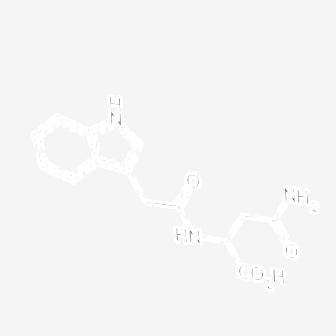 NC(=O)CC(NC(=O)Cc1c[nH]c2ccccc12)C(=O)O